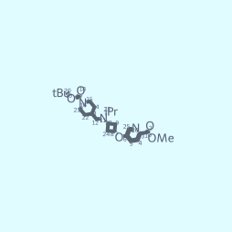 COC(=O)c1ccc(OC2CC(N(CC3CCN(C(=O)OC(C)(C)C)CC3)C(C)C)C2)cn1